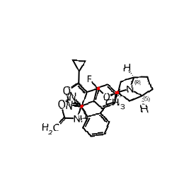 C=C1NC(c2ccc(N3[C@@H]4CC[C@H]3C[C@@H](OCc3c(-c5ccccc5C)noc3C3CC3)C4)cc2F)=NO1